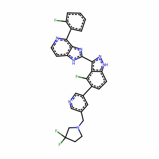 Fc1ccccc1-c1nccc2[nH]c(-c3n[nH]c4ccc(-c5cncc(CN6CCC(F)(F)C6)c5)c(F)c34)nc12